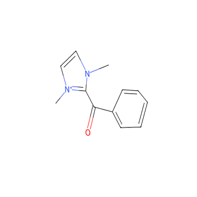 Cn1cc[n+](C)c1C(=O)c1ccccc1